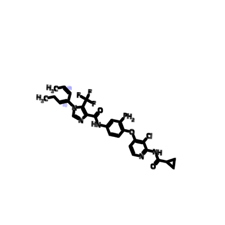 C/C=C\C(=C/CC)n1cnc(C(=O)Nc2ccc(Oc3ccnc(NC(=O)C4CC4)c3Cl)c(P)c2)c1C(F)(F)F